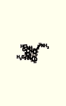 CCc1nc(C(N)=O)c(Nc2cccc(C#CCN)c2)nc1NC1CCOCC1.Cl